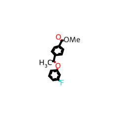 COC(=O)c1ccc(C(C)Oc2cccc(F)c2)cc1